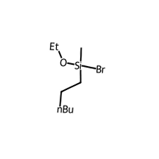 CCCCCC[Si](C)(Br)OCC